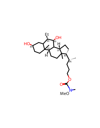 CC[C@@H]1C2C[C@H](O)CCC2(C)[C@H]2CCC3(C)[C@@H]([C@H](C)CCCOC(=O)N(C)OC)CC[C@H]3C2[C@@H]1O